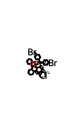 CC12C(=C3Cc4ccccc4C3=C3C=CCCC31)[C](C)([Zr+2]([C]1=CC=CC1)=[C](c1ccc(Br)cc1)c1ccc(Br)cc1)C(C)(C)C(C)(C)C2(C)C.[Cl-].[Cl-]